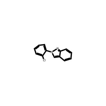 Clc1ccccc1-n1cc2ccccc2n1